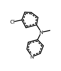 CN(c1ccncc1)c1cccc(Cl)c1